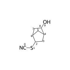 N#CSC1CC2CC1CC2O